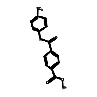 CCCOC(=O)c1ccc(C(=O)Sc2ccc([N+](=O)[O-])cc2)cc1